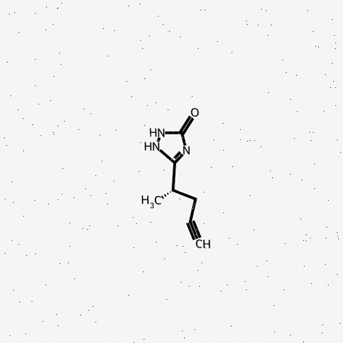 C#CC[C@H](C)c1nc(=O)[nH][nH]1